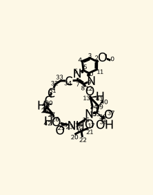 COc1ccc2nc3c(nc2c1)O[C@H]1CN(C(=O)[C@H](C(C)(C)C)NC(=O)O[C@@H]2C[C@H]2CCCCC3)[C@H](C(=O)O)[C@@H]1C